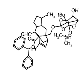 CC(C)C1=CC2CC3(C=O)C4CCC(C)C4CC2(COC24OC5C(O)C(OC5(O[SiH](C)C)O2)C4C(C)(C)C)C13C(=O)OC(c1ccccc1)c1ccccc1